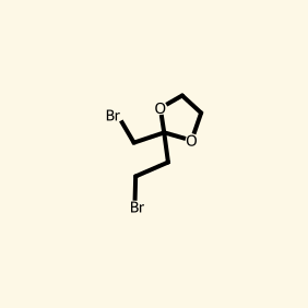 BrCCC1(CBr)OCCO1